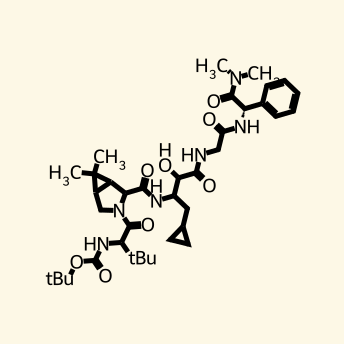 CN(C)C(=O)[C@@H](NC(=O)CNC(=O)C(O)C(CC1CC1)NC(=O)C1C2C(CN1C(=O)C(NC(=O)OC(C)(C)C)C(C)(C)C)C2(C)C)c1ccccc1